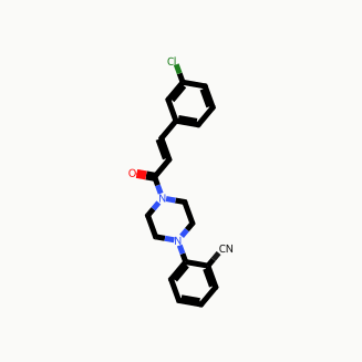 N#Cc1ccccc1N1CCN(C(=O)/C=C/c2cccc(Cl)c2)CC1